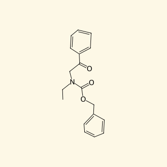 CCN(CC(=O)c1ccccc1)C(=O)OCc1ccccc1